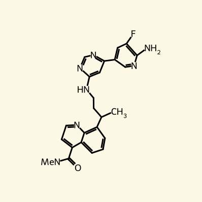 CNC(=O)c1ccnc2c(C(C)CCNc3cc(-c4cnc(N)c(F)c4)ncn3)cccc12